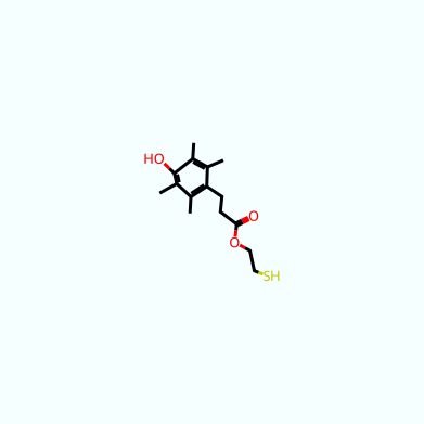 Cc1c(C)c(CCC(=O)OCCS)c(C)c(C)c1O